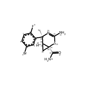 C[C@]1(c2cc(Br)ccc2F)N=C(N)S[C@@]2(C(N)=O)C[C@H]21